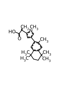 C=C(C(=O)O)c1cc(-c2cc3c(cc2C)C(C)(C)CCC3(C)C)cn1C